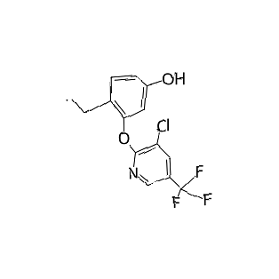 [CH2]Cc1ccc(O)cc1Oc1ncc(C(F)(F)F)cc1Cl